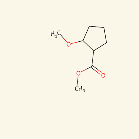 COC(=O)C1CCCC1OC